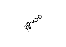 O=C1COc2ccc(CCN3CCC(c4ccccc4)CC3)cc2N1